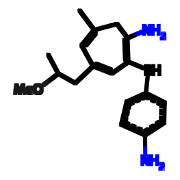 COC(C)CC1=CC(Bc2ccc(N)cc2)=C(N)CC(C)=C1